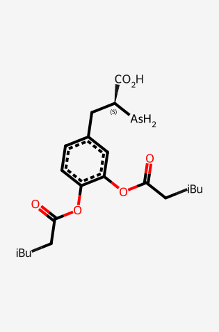 CCC(C)CC(=O)Oc1ccc(C[C@H]([AsH2])C(=O)O)cc1OC(=O)CC(C)CC